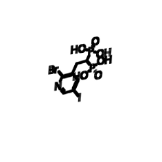 O=P(O)(O)C(Cc1cc(I)cnc1Br)P(=O)(O)O